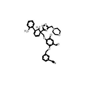 Cc1ccccc1C1=CC=CC(COc2cc(OCc3cccc(C#N)c3)c(C=O)cc2Cl)(c2noc(CN3CCOCC3)n2)C1C